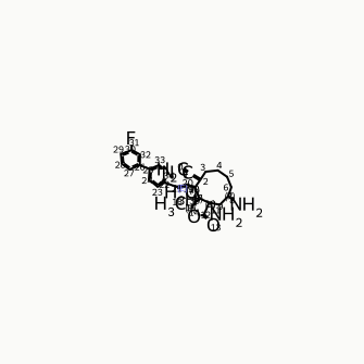 C=C=C1CCCC[C@@H](N)C[C@@]2(N)C(=O)O[C@H](C)[C@H]2[C@@]1(C)/C=C/c1ccc(-c2cccc(F)c2)cn1